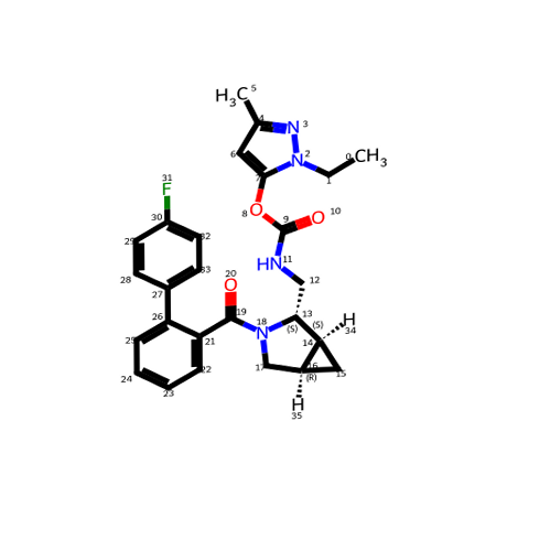 CCn1nc(C)cc1OC(=O)NC[C@@H]1[C@H]2C[C@H]2CN1C(=O)c1ccccc1-c1ccc(F)cc1